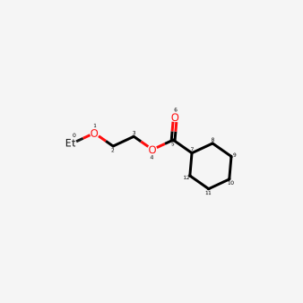 CCOCCOC(=O)C1CCCCC1